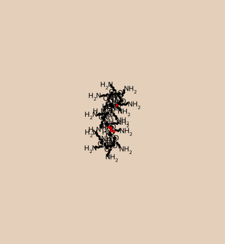 NCCCC[C@H](NC(=O)[C@H](CCCCN)NC(=O)[C@H](CCCCN)NC(=O)[C@H](CCCCN)NC(=O)[C@H](CCCCN)NC(=O)[C@H](CCCCN)NC(=O)[C@H](CCCCN)NC(=O)[C@H](CCCCN)NC(=O)[C@H](CCCCN)NC(=O)[C@H](CCCCN)NC(=O)[C@H](CCCCN)NC(=O)[C@H](CCCCN)NC(=O)[C@H](CCCCN)NC(=O)[C@H](CCCCN)NC(=O)[C@H](CCCCN)NC(=O)[C@@H](N)CCCCN)C(=O)O